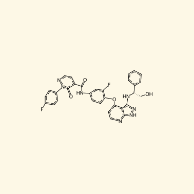 O=C(Nc1ccc(Oc2ccnc3[nH]nc(N[C@@H](CO)c4ccccc4)c23)c(F)c1)c1ccnn(-c2ccc(F)cc2)c1=O